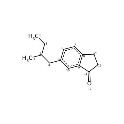 CCC(C)Cc1ccc2c(c1)C(=O)CC2